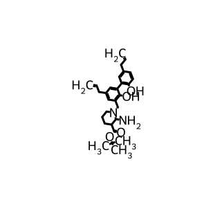 C=CCc1ccc(O)c(-c2cc(CC=C)cc(CN3CCCC(C(=O)OC(C)(C)C)C3N)c2O)c1